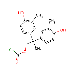 Cc1cc(C(C)(COC(=O)Cl)c2ccc(O)c(C)c2)ccc1O